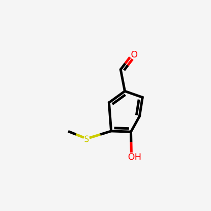 CSc1cc(C=O)ccc1O